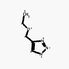 CCOCC1=C[N]N=N1